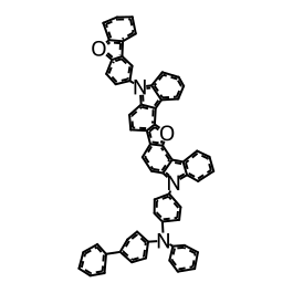 c1ccc(-c2ccc(N(c3ccccc3)c3ccc(-n4c5ccccc5c5c6oc7c(ccc8c7c7ccccc7n8-c7ccc8oc9ccccc9c8c7)c6ccc54)cc3)cc2)cc1